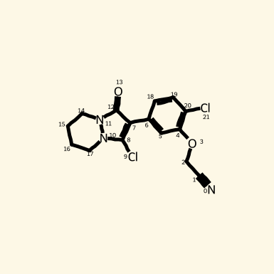 N#CCOc1cc(-c2c(Cl)n3n(c2=O)CCCC3)ccc1Cl